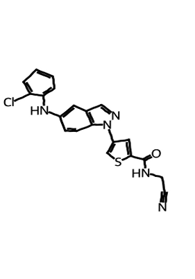 N#CCNC(=O)c1cc(-n2ncc3cc(Nc4ccccc4Cl)ccc32)cs1